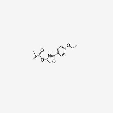 C=C(C)C(=O)OC1COC(c2ccc(OCC)cc2)=N1